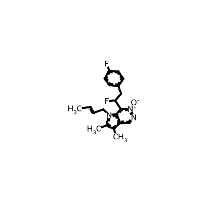 CC=CCn1c(C)c(C)c2cn[n+]([O-])c(C(F)Cc3ccc(F)cc3)c21